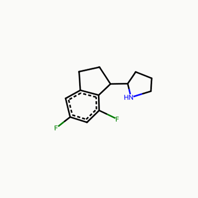 Fc1cc(F)c2c(c1)CCC2C1CCCN1